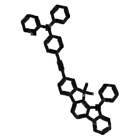 CC1(C)c2cc(C#Cc3ccc(N(c4ccccc4)c4ccccn4)cc3)ccc2-c2ccc3c4ccccc4n(-c4ccccc4)c3c21